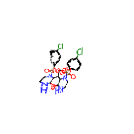 O=C(O)C(C1C(=O)NCCN1S(=O)(=O)c1ccc(Cl)cc1)C1C(=O)NCCN1S(=O)(=O)c1ccc(Cl)cc1